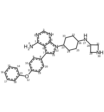 Nc1ncnc2c1c(-c1ccc(Oc3ccccc3)cc1)cn2C1CCC(NC2CNC2)CC1